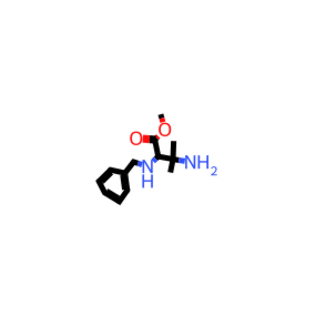 COC(=O)C(NCc1ccccc1)C(C)(C)N